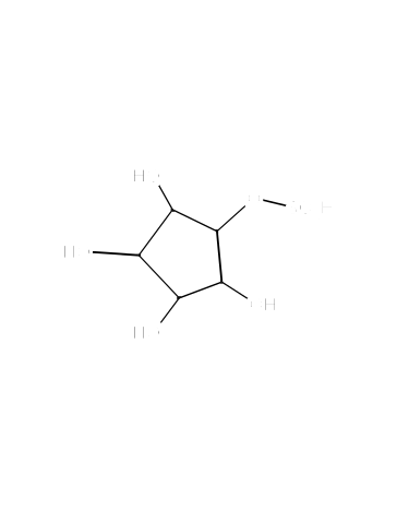 O=S(=O)(O)OC1C(O)C(O)C(O)C1O